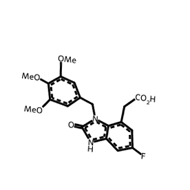 COc1cc(Cn2c(=O)[nH]c3cc(F)cc(CC(=O)O)c32)cc(OC)c1OC